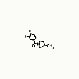 CC1CCN(C(=O)c2ccc(F)c(F)c2)CC1